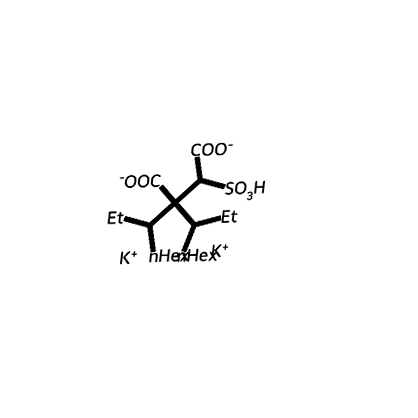 CCCCCCC(CC)C(C(=O)[O-])(C(CC)CCCCCC)C(C(=O)[O-])S(=O)(=O)O.[K+].[K+]